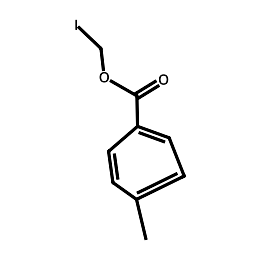 Cc1ccc(C(=O)OCI)cc1